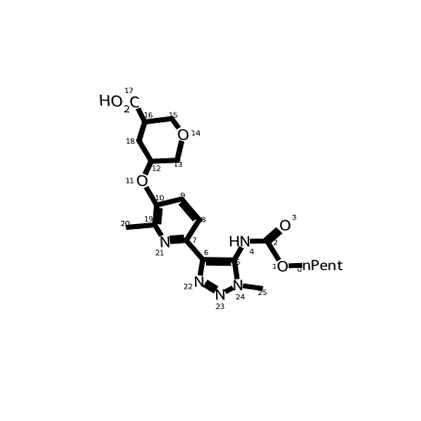 CCCCCOC(=O)Nc1c(-c2ccc(OC3COCC(C(=O)O)C3)c(C)n2)nnn1C